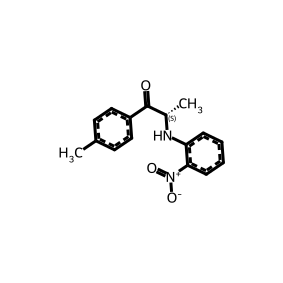 Cc1ccc(C(=O)[C@H](C)Nc2ccccc2[N+](=O)[O-])cc1